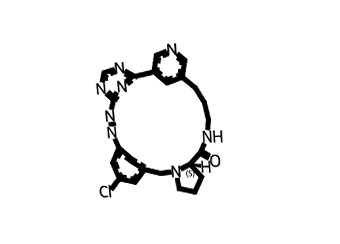 O=C1NCCCc2cncc(c2)-c2ncnc(n2)N=Nc2cc(Cl)cc(c2)CN2CCC[C@@H]12